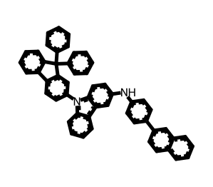 c1ccc(C2(c3ccccc3)c3ccccc3-c3ccc(-n4c5ccccc5c5cc(Nc6ccc(-c7ccc8ccccc8c7)cc6)ccc54)cc32)cc1